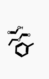 CCOC=O.Cc1ccccc1.O=CO